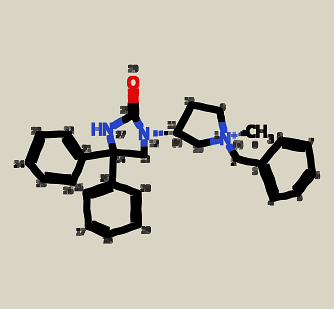 C[N@@+]1(Cc2ccccc2)CC[C@@H](N2CC(c3ccccc3)(c3ccccc3)NC2=O)C1